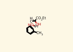 CC(C)O.CCOC(=O)C(C)O.Cc1ccccc1